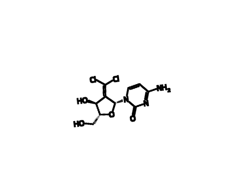 Nc1ccn([C@@H]2O[C@H](CO)[C@@H](O)C2=C(Cl)Cl)c(=O)n1